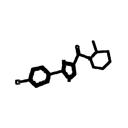 CC1CCCCN1C(=O)c1csc(-c2ccc(Cl)cc2)n1